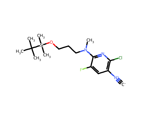 [C-]#[N+]c1cc(F)c(N(C)CCCO[Si](C)(C)C(C)(C)C)nc1Cl